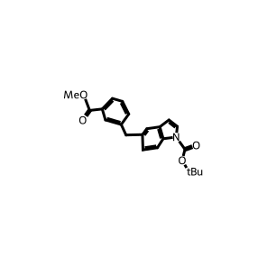 COC(=O)c1cccc(Cc2ccc3c(ccn3C(=O)OC(C)(C)C)c2)c1